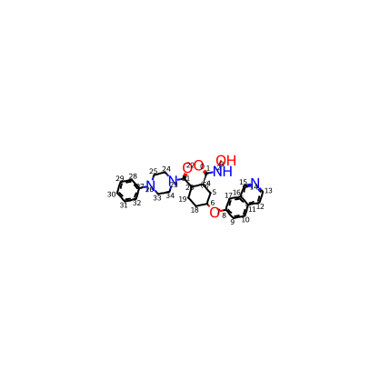 O=C(NO)[C@H]1CC(Oc2ccc3ccncc3c2)CCC1C(=O)N1CCN(c2ccccc2)CC1